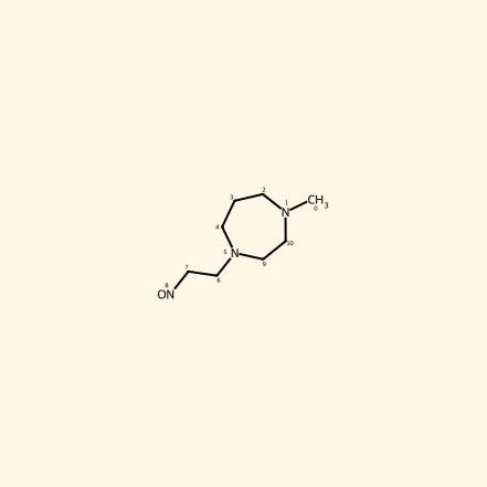 CN1CCCN(CCN=O)CC1